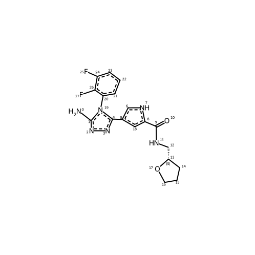 Nc1nnc(-c2c[nH]c(C(=O)NC[C@@H]3CCCO3)c2)n1-c1cccc(F)c1F